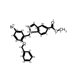 COC(=O)c1ccc2c(cnn2Cc2cc(Br)ccc2OCc2ccccc2)c1